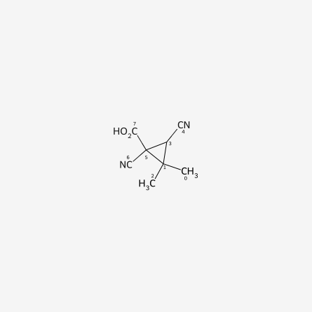 CC1(C)C(C#N)C1(C#N)C(=O)O